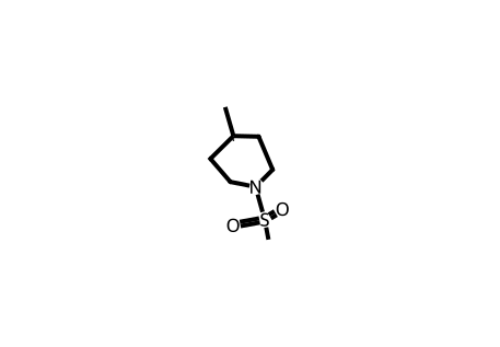 C[C]1CCN(S(C)(=O)=O)CC1